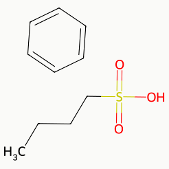 CCCCS(=O)(=O)O.c1ccccc1